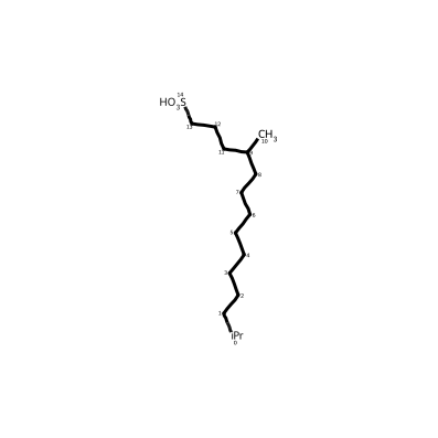 CC(C)CCCCCCCCC(C)CCCS(=O)(=O)O